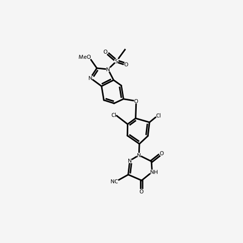 COc1nc2ccc(Oc3c(Cl)cc(-n4nc(C#N)c(=O)[nH]c4=O)cc3Cl)cc2n1S(C)(=O)=O